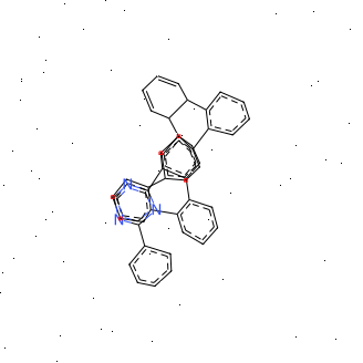 C1=CC2c3ccccc3-c3ccc(-c4ccccc4-c4ccccc4-c4ccccc4-c4ncnc(-c5ccccc5)n4)cc3C2C=C1